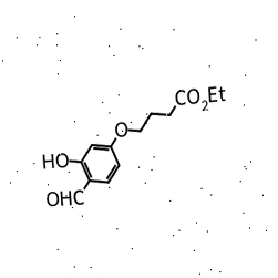 CCOC(=O)CCCOc1ccc(C=O)c(O)c1